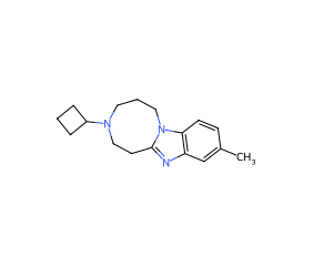 Cc1ccc2c(c1)nc1n2CCCN(C2CCC2)CC1